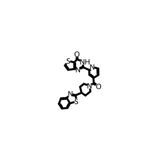 O=C(c1ccnc(-c2nc3ccsc3c(=O)[nH]2)c1)N1CCC(c2nc3ccccc3s2)CC1